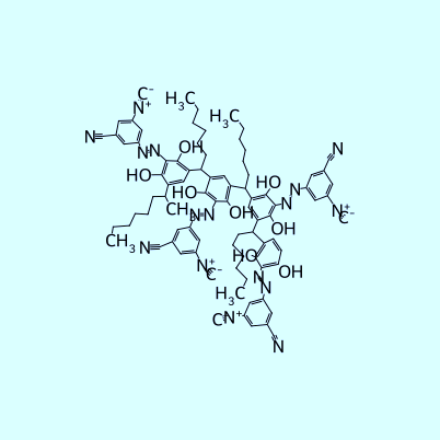 [C-]#[N+]c1cc(C#N)cc(N=Nc2c(O)ccc(C(CCCCCC)c3cc(C(CCCCCC)c4cc(C(CCCCCC)c5cc(C(C)CCCCCC)c(O)c(N=Nc6cc(C#N)cc([N+]#[C-])c6)c5O)c(O)c(N=Nc5cc(C#N)cc([N+]#[C-])c5)c4O)c(O)c(N=Nc4cc(C#N)cc([N+]#[C-])c4)c3O)c2O)c1